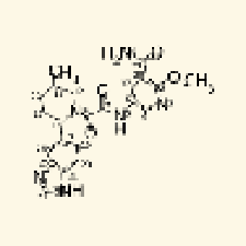 COc1ncc(NC(=O)C(=O)N2CC(C)CCC2c2ccc3[nH]cnc3c2)cc1C(N)=O